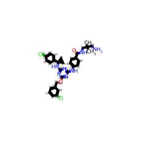 CC(C)(CN)CNC(=O)c1ccc(Nc2nc(NC3(c4ccc(Cl)cc4)CC3)nc(OCc3cccc(Cl)c3)n2)cc1